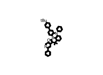 CC(C)(C)c1ccc(-c2ccc3c(c2)N(c2ccccc2)c2cccc4c2B3c2oc3cnc(-c5ccccc5)cc3c2C4(C)C)cc1